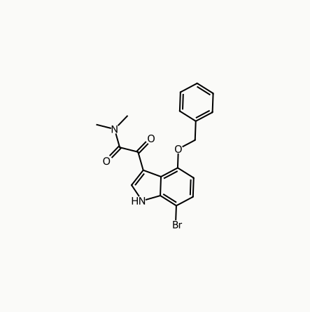 CN(C)C(=O)C(=O)c1c[nH]c2c(Br)ccc(OCc3ccccc3)c12